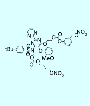 COc1ccccc1Oc1c(OCCOC(=O)Oc2cccc(CO[N+](=O)[O-])c2)nc(-c2ncccn2)nc1N(COC(=O)OCCCCO[N+](=O)[O-])S(=O)(=O)c1ccc(C(C)(C)C)cc1